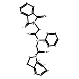 O=C1c2ccccc2C(=O)N1CC(=O)N(CC(=O)N1CCc2ccccc21)c1ccccc1